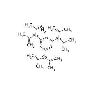 C=[C](C)[Sb]([C](=C)C)[c]1c[c]([Sb]([C](=C)C)[C](=C)C)c[c]([Sb]([C](=C)C)[C](=C)C)c1